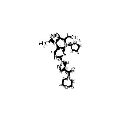 CCC1c2nnc(C)n2-c2cnc(-n3cc(C(=O)N4CCOCC4)cn3)nc2N1C1CCCC1